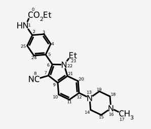 CCOC(=O)Nc1ccc(-c2c(C#N)c3ccc(N4CCN(C)CC4)cc3n2CC)cc1